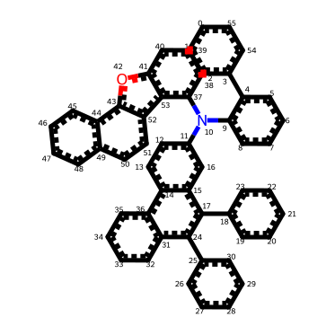 c1ccc(-c2ccccc2N(c2ccc3c(c2)c(-c2ccccc2)c(-c2ccccc2)c2ccccc23)c2cccc3oc4c5ccccc5ccc4c23)cc1